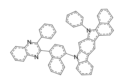 c1ccc(-c2nc3ccccc3nc2-c2ccc(-n3c4ccccc4c4cc5c6ccc7ccccc7c6n(-c6ccccc6)c5cc43)c3ccccc23)cc1